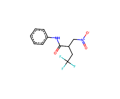 O=C(Nc1ccccc1)C(C[N+](=O)[O-])CC(F)(F)F